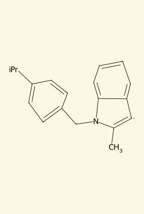 Cc1[c]c2ccccc2n1Cc1ccc(C(C)C)cc1